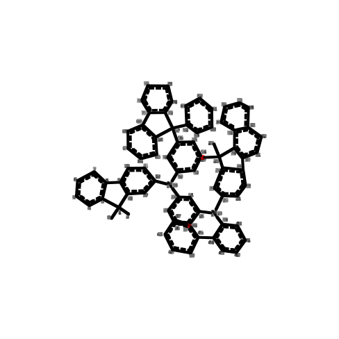 CC1(C)c2ccccc2-c2ccc(N(c3cccc(N(c4ccc5c(c4)C(C)(C)c4c-5ccc5ccccc45)c4ccccc4-c4ccccc4)c3)c3cccc(C4(c5ccccc5)c5ccccc5-c5ccccc54)c3)cc21